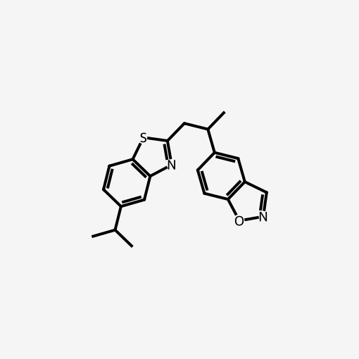 CC(C)c1ccc2sc(CC(C)c3ccc4oncc4c3)nc2c1